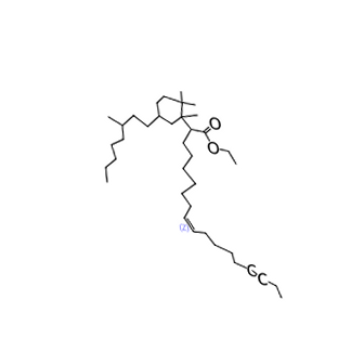 CCCCCCCC/C=C\CCCCCCC(C(=O)OCC)C1(C)CC(CCC(C)CCCCC)CCC1(C)C